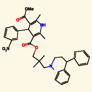 COC(=O)C1=C(C)NC(C)=C(C(=O)OCC(C)(C)CN(C)CCC(c2ccccc2)c2ccccc2)C1c1cccc([N+](=O)[O-])c1